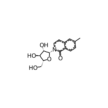 Cc1ccc2c(=O)n([C@@H]3O[C@H](CO)[C@@H](O)[C@@H]3O)ccc2c1